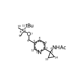 CC(=O)NC1(c2ccc(CO[Si](C)(C)C(C)(C)C)cn2)CC1